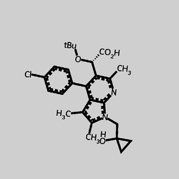 Cc1nc2c(c(C)c(C)n2CC2(O)CC2)c(-c2ccc(Cl)cc2)c1[C@H](OC(C)(C)C)C(=O)O